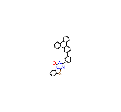 O=c1nc(-c2cccc(-c3ccc4c5ccccc5c5ccccc5c4c3)c2)nc2sc3ccccc3n12